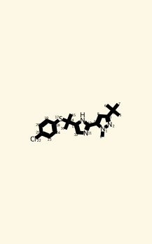 Cn1nc(C(C)(C)C)cc1-c1ncc(C(C)(C)Sc2ccc(Cl)cc2)[nH]1